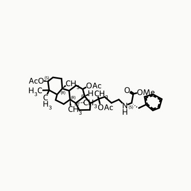 COC(=O)[C@H](Cc1ccccc1)NCCCC(C)(OC(C)=O)C1CC[C@]2(C)[C@@H]1C(OC(C)=O)CC1[C@@]3(C)CC[C@H](OC(C)=O)C(C)(C)C3CC[C@]12C